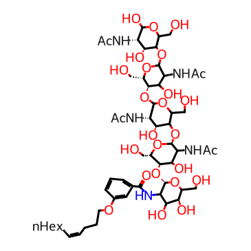 CCCCCC/C=C\CCCOc1cccc(C(=O)NC2C(O)[C@H](O)C(CO)O[C@H]2O[C@H]2C(O)C(NC(C)=O)[C@H](OC3C(CO)OC(O[C@H]4C(O)C(NC(C)=O)C(OC5C(CO)OC(O)[C@@H](NC(C)=O)[C@H]5O)O[C@H]4CO)[C@@H](NC(C)=O)[C@H]3O)O[C@H]2CO)c1